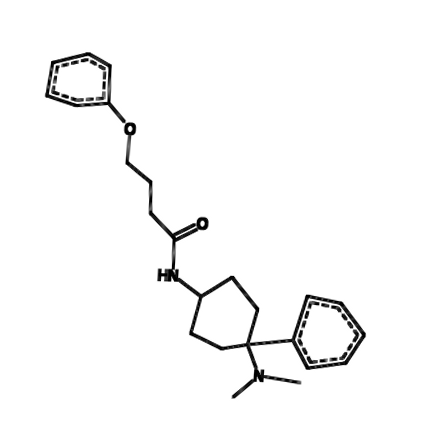 CN(C)C1(c2ccccc2)CCC(NC(=O)CCCOc2ccccc2)CC1